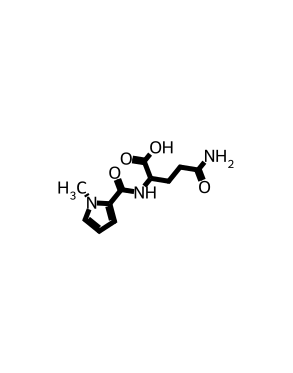 Cn1cccc1C(=O)NC(CCC(N)=O)C(=O)O